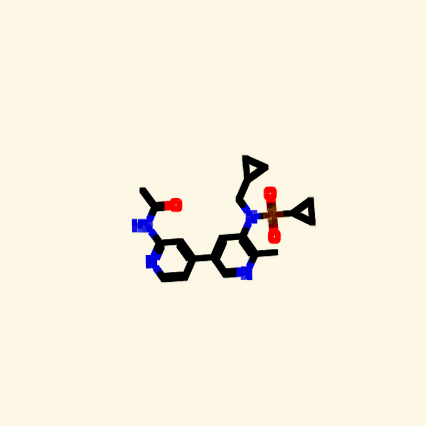 CC(=O)Nc1cc(-c2cnc(C)c(N(CC3CC3)S(=O)(=O)C3CC3)c2)ccn1